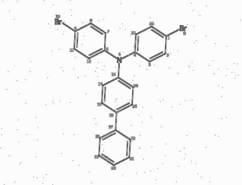 Brc1ccc(N(c2ccc(Br)cc2)c2ccc(-c3ccccc3)cc2)cc1